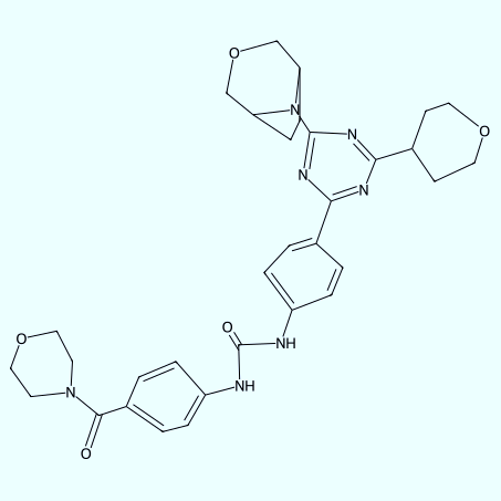 O=C(Nc1ccc(C(=O)N2CCOCC2)cc1)Nc1ccc(-c2nc(C3CCOCC3)nc(N3C4CCC3COC4)n2)cc1